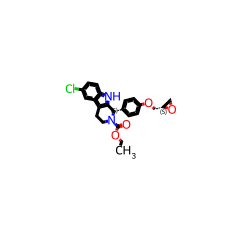 CCOC(=O)N1CCc2c([nH]c3ccc(Cl)cc23)[C@@H]1c1ccc(OC[C@@H]2CO2)cc1